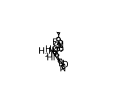 CN(C)CC(=O)N1CC=C(c2cc3c(-c4cccc(-n5ccc6cc(C7CC7)cc(F)c6c5=O)c4CO)nc(N)nc3[nH]2)CC1